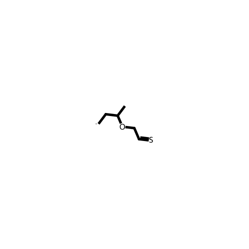 [CH2]CC(C)OCC=S